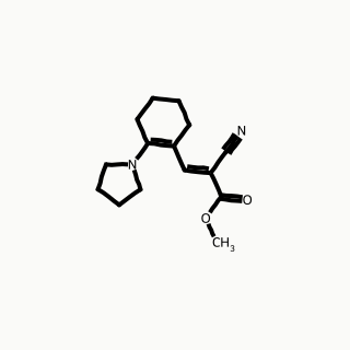 COC(=O)/C(C#N)=C/C1=C(N2CCCC2)CCCC1